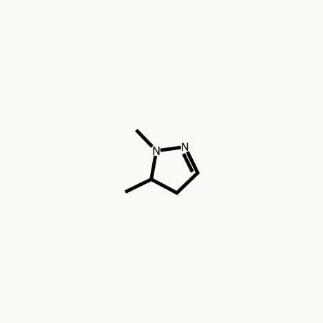 CC1CC=NN1C